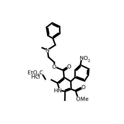 CCOC(C)=O.COC(=O)C1=C(C)NC(C)=C(C(=O)OCCN(C)Cc2ccccc2)C1c1cccc([N+](=O)[O-])c1.Cl